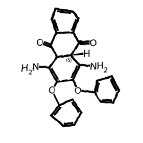 NC1=C(Oc2ccccc2)C(Oc2ccccc2)=C(N)[C@H]2C(=O)c3ccccc3C(=O)C12